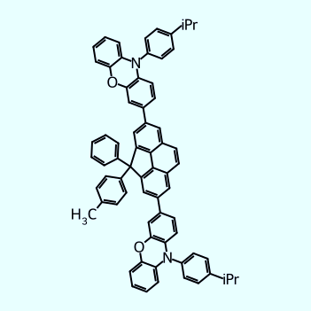 Cc1ccc(C2(c3ccccc3)c3cc(-c4ccc5c(c4)Oc4ccccc4N5c4ccc(C(C)C)cc4)cc4ccc5cc(-c6ccc7c(c6)Oc6ccccc6N7c6ccc(C(C)C)cc6)cc2c5c34)cc1